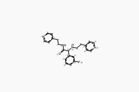 O=C(NCCc1ccncc1)C(NCCc1ccncc1)c1cccc(F)c1